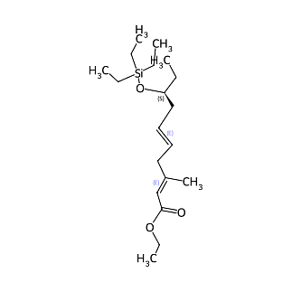 CCOC(=O)/C=C(\C)C/C=C/C[C@H](CC)O[Si](CC)(CC)CC